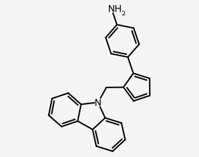 Nc1ccc(C2=CC=C=C2Cn2c3ccccc3c3ccccc32)cc1